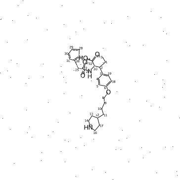 CCC(c1ccc(OCCCCC2CCNCC2)cc1)C(NS(=O)(=O)Cc1ccccc1)C(=O)O